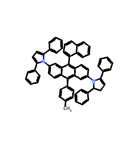 Cc1ccc(-c2c3cc(N4C(c5ccccc5)=CCC4c4ccccc4)ccc3c(-c3cccc4ccccc34)c3cc(-n4c(-c5ccccc5)ccc4-c4ccccc4)ccc23)cc1